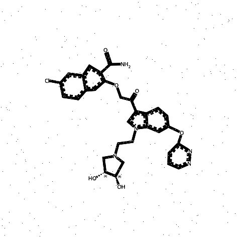 NC(=O)c1cc2cc(Cl)ccc2cc1OCC(=O)c1cn(CCN2C[C@@H](O)[C@H](O)C2)c2cc(Oc3cccnn3)ccc12